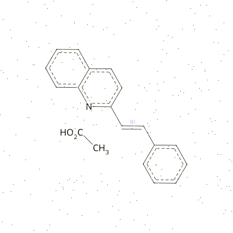 C(=C\c1ccc2ccccc2n1)/c1ccccc1.CC(=O)O